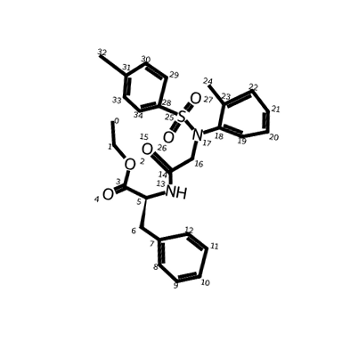 CCOC(=O)[C@H](Cc1ccccc1)NC(=O)CN(c1ccccc1C)S(=O)(=O)c1ccc(C)cc1